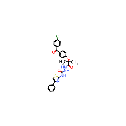 CC(C)(Oc1ccc(C(=O)c2ccc(Cl)cc2)cc1)C(=O)NNC(=O)Nc1nc(-c2ccccc2)cs1